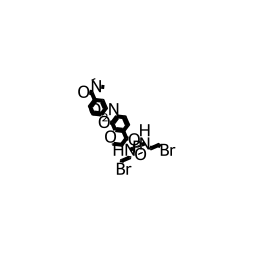 CN(C)C(=O)c1ccc(Oc2c([N+](=O)[O-])ccc3c2OCCC3OP(=O)(NCCBr)NCCBr)cc1